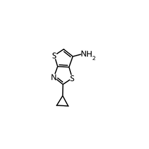 Nc1csc2nc(C3CC3)sc12